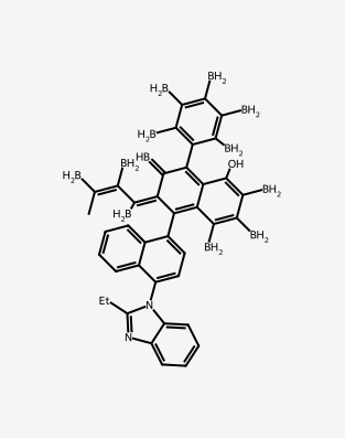 B=c1c(-c2c(B)c(B)c(B)c(B)c2B)c2c(O)c(B)c(B)c(B)c2c(-c2ccc(-n3c(CC)nc4ccccc43)c3ccccc23)/c1=C(B)/C(B)=C(/B)C